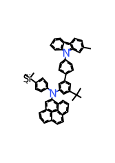 Cc1ccc2c3ccccc3n(-c3ccc(-c4cc(N(c5ccc([Si](C)(C)C)cc5)c5cc6cccc7ccc8cccc5c8c76)cc(C(C)(C)C)c4)cc3)c2c1